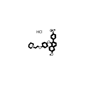 COc1ccc2c(Oc3ccc(OCCN4CCCCC4)cc3)c(-c3ccc([S+](C)[O-])cc3)ccc2c1.Cl